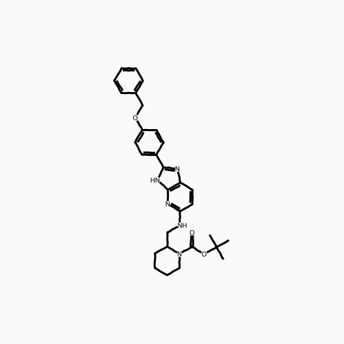 CC(C)(C)OC(=O)N1CCCCC1CNc1ccc2nc(-c3ccc(OCc4ccccc4)cc3)[nH]c2n1